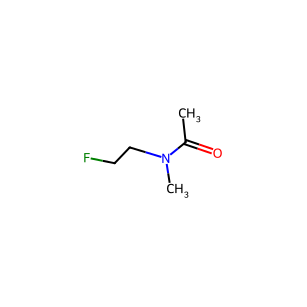 CC(=O)N(C)CCF